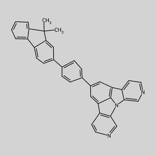 CC1(C)c2ccccc2-c2ccc(-c3ccc(-c4cc5c6ccncc6n6c7cnccc7c(c4)c56)cc3)cc21